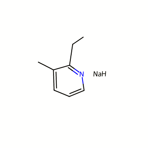 CCc1ncccc1C.[NaH]